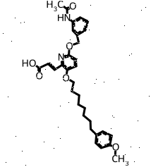 COc1ccc(CCCCCCCCOc2ccc(OCc3cccc(NC(C)=O)c3)nc2C=CC(=O)O)cc1